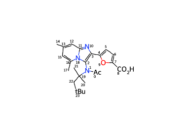 CC(=O)N(c1c(-c2ccc(C(=O)O)o2)nc2cc(C)cc(C)n12)C(C)(C)CC(C)(C)C